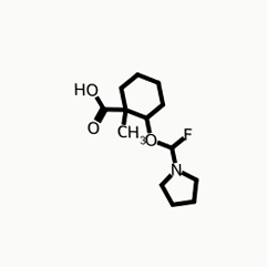 CC1(C(=O)O)CCCCC1OC(F)N1CCCC1